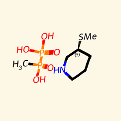 CP(=O)(O)P(=O)(O)O.CS[C@H]1CCCNC1